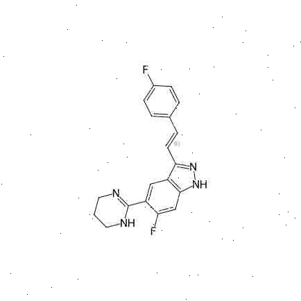 Fc1ccc(/C=C/c2n[nH]c3cc(F)c(C4=NCCCN4)cc23)cc1